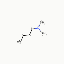 CCCCCCN([SiH3])[SiH3]